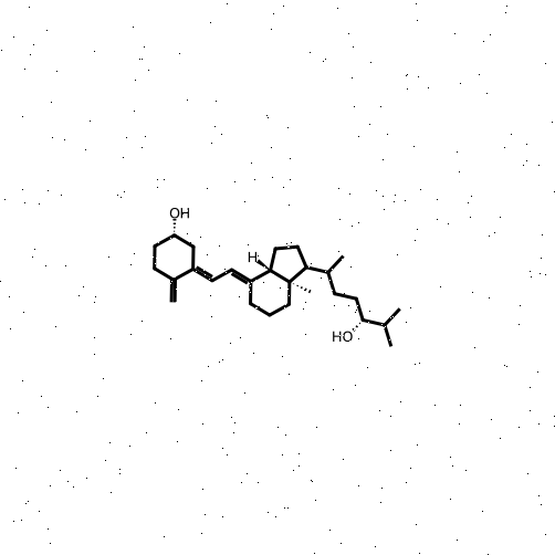 C=C1CC[C@H](O)C/C1=C\C=C1/CCC[C@]2(C)C(C(C)CC[C@@H](O)C(C)C)CC[C@@H]12